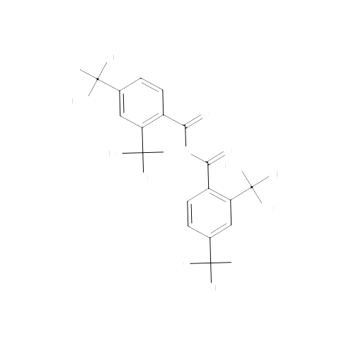 CC(C)(C)c1ccc(C(=O)OC(=O)c2ccc(C(C)(C)C)cc2C(C)(C)C)c(C(C)(C)C)c1